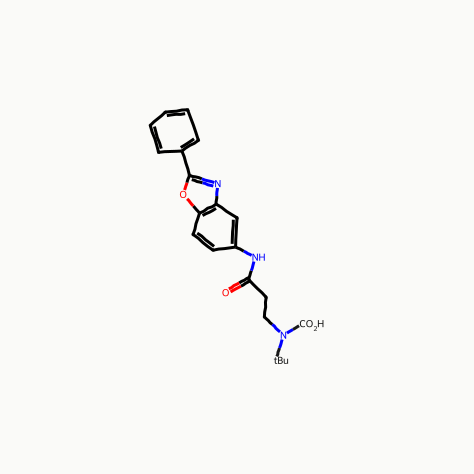 CC(C)(C)N(CCC(=O)Nc1ccc2oc(-c3ccccc3)nc2c1)C(=O)O